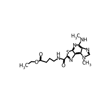 CCOC(=O)CCCNC(=O)c1nc2c(nc(NC)c3ncn(C)c32)s1